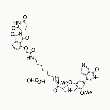 COc1cc(-c2cn(C)c(=O)c3cnccc23)cc(OC)c1CN1CC(C(=O)NCCCCCCCCNC(=O)COc2cccc3c2C(=O)N(C2CCC(=O)NC2=O)C3=O)C1.O=CO